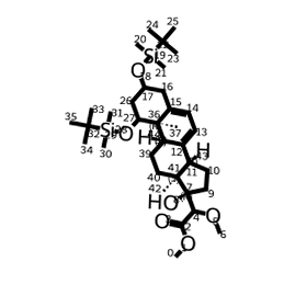 COC(=O)C(OC)[C@@]1(O)CC[C@H]2C3=CC=C4CC(O[Si](C)(C)C(C)(C)C)CC(O[Si](C)(C)C(C)(C)C)[C@]4(C)[C@H]3CC[C@@]21C